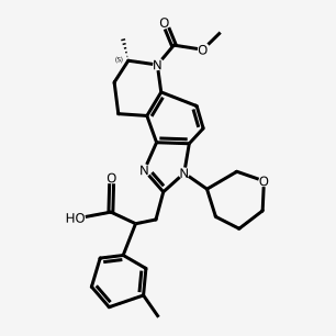 COC(=O)N1c2ccc3c(nc(CC(C(=O)O)c4cccc(C)c4)n3C3CCCOC3)c2CC[C@@H]1C